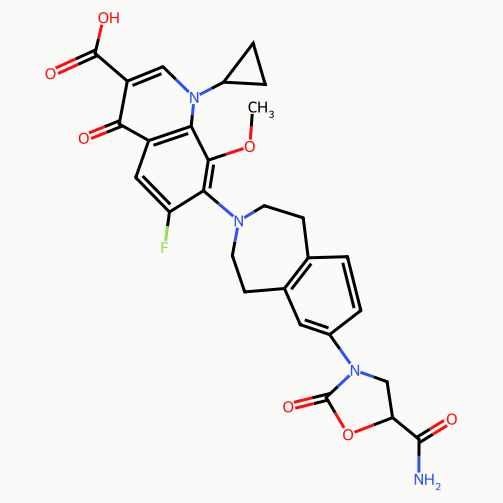 COc1c(N2CCc3ccc(N4CC(C(N)=O)OC4=O)cc3CC2)c(F)cc2c(=O)c(C(=O)O)cn(C3CC3)c12